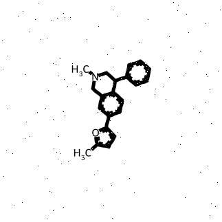 Cc1ccc(-c2ccc3c(c2)CN(C)CC3c2ccccc2)o1